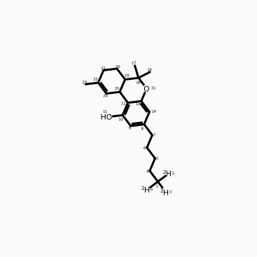 [2H]C([2H])([2H])CCCCc1cc(O)c2c(c1)OC(C)(C)C1CCC(C)=CC21